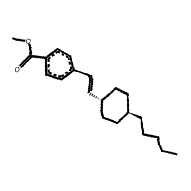 CCCCC[C@H]1CC[C@H](C=Cc2ccc(C(=O)OC)cc2)CC1